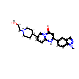 Cn1ncc2cc(-c3cc(=O)n4cc(C5CCN(CCO)CC5)ccc4n3)ccc21